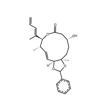 C=C/C=C(\C)[C@H]1OC(=O)C[C@H](O)CC[C@@]2(C)OC(c3ccccc3)O[C@H]2/C=C/[C@@H]1C